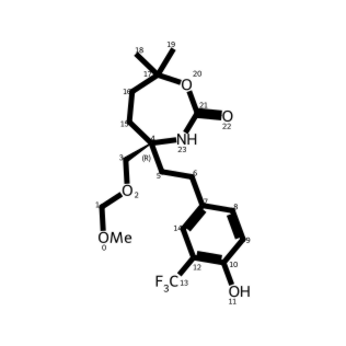 COCOC[C@@]1(CCc2ccc(O)c(C(F)(F)F)c2)CCC(C)(C)OC(=O)N1